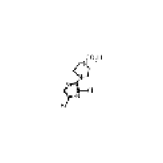 O=C(O)N1CCN(c2ncc(Br)nc2Cl)CC1